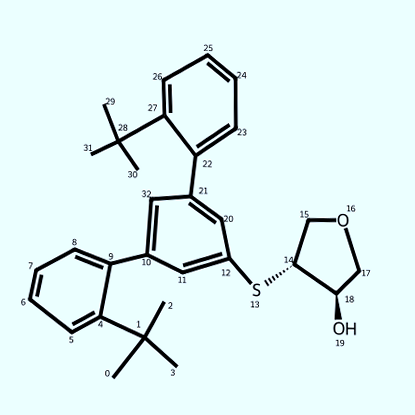 CC(C)(C)c1ccccc1-c1cc(S[C@@H]2COC[C@H]2O)cc(-c2ccccc2C(C)(C)C)c1